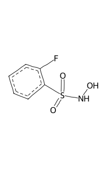 O=S(=O)(NO)c1ccccc1F